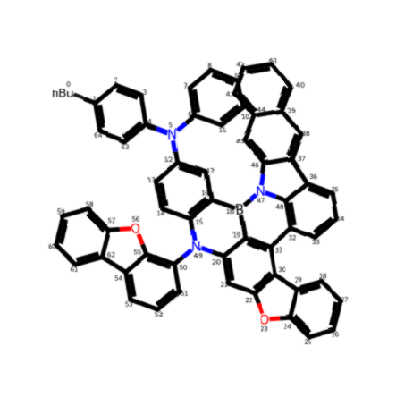 CCCCc1ccc(N(c2ccccc2)c2ccc3c(c2)B2c4c(cc5oc6ccccc6c5c4-c4cccc5c6cc7ccccc7cc6n2c45)N3c2cccc3c2oc2ccccc23)cc1